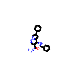 NC(=O)c1cnn2cc(-c3ccccc3)cc2c1NCc1ccccc1